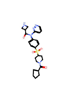 O=C(C1CCCC1)N1CCC(S(=O)(=O)c2ccc(N(C(=O)C3CNC3)c3cccnn3)cc2)CC1